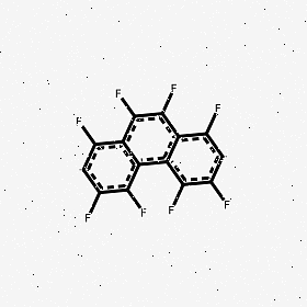 Fc1[c]c(F)c2c(F)c(F)c3c(F)[c]c(F)c(F)c3c2c1F